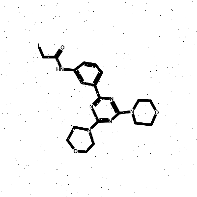 O=C(CI)Nc1cccc(-c2nc(N3CCOCC3)nc(N3CCOCC3)n2)c1